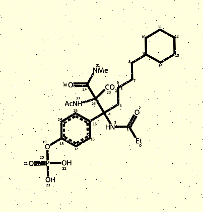 CCC(=O)NC(CCCCC1CCCCC1)(c1ccc(OP(=O)(O)O)cc1)C(NC(C)=O)(C(=O)O)C(=O)NC